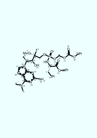 CO[C@](F)(COP(=O)(N[C@@H](CC(C)C)C(=O)OC(C)C)OCOC(=O)OC(C)C)[C@@H](O)[C@H](C)n1cnc2c(N(C)C)nc(N)nc21